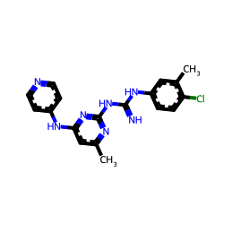 Cc1cc(Nc2ccncc2)nc(NC(=N)Nc2ccc(Cl)c(C)c2)n1